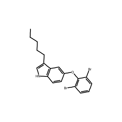 CCCCCc1c[nH]c2ccc(Oc3c(Br)c[c]cc3Br)cc12